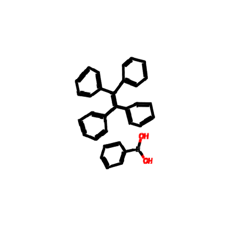 OB(O)c1ccccc1.c1ccc(C(=C(c2ccccc2)c2ccccc2)c2ccccc2)cc1